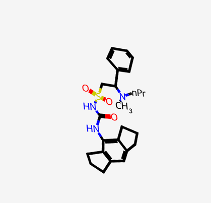 CCCN(C)C(CS(=O)(=O)NC(=O)Nc1c2c(cc3c1CCC3)CCC2)c1ccccc1